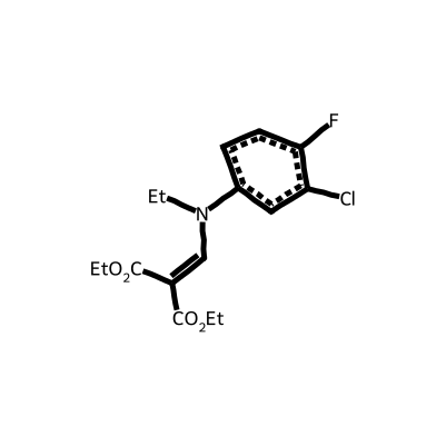 CCOC(=O)C(=CN(CC)c1ccc(F)c(Cl)c1)C(=O)OCC